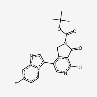 CC(C)(C)OC(=O)N1Cc2c(-c3cnc4cc(F)ccn34)cnc(Cl)c2C1=O